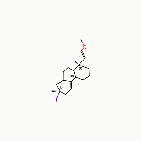 CO/C=C/[C@]1(C)CCC[C@@]2(C)C3=CC[C@](C)(I)CC3CCC21